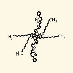 CCCCCCCCCCCCC(CCCCCCCCCC)CN1C(=O)C2=C(C3CC=C(C4=CCC(C5CC(CCCc6ccccc6)=C(Br)S5)S4)S3)N(CC(CCCCCCCCCC)CCCCCCCCCCCC)C(=O)C2=C1c1ccc(-c2ccc(-c3cc(CCCc4ccccc4)c(Br)s3)s2)s1